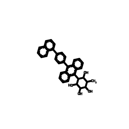 CC1C(O)C(O)C(O)C(c2c3ccccc3c(-c3ccc(-c4cccc5ccccc45)cc3)c3ccccc23)C1O